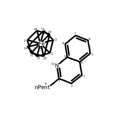 CCCCCc1ccc2ccccc2n1.[CH]12[CH]3[CH]4[CH]5[CH]1[Fe]23451678[CH]2[CH]1[CH]6[CH]7[CH]28